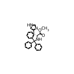 COC(=O)[C@@H](Cc1c[nH]cn1)NC(c1ccccc1)(c1ccccc1)c1ccccc1